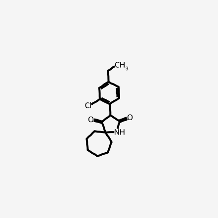 CCc1ccc(C2C(=O)NC3(CCCCCC3)C2=O)c(Cl)c1